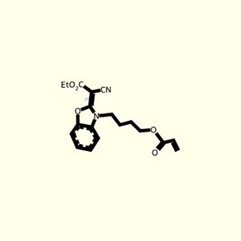 C=CC(=O)OCCCCN1/C(=C(\C#N)C(=O)OCC)Oc2ccccc21